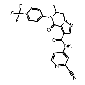 CC1Cn2ncc(C(=O)Nc3ccnc(C#N)c3)c2C(=O)N1c1ccc(C(F)(F)F)cc1